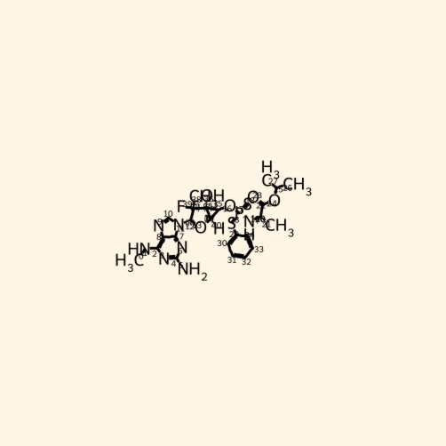 CNc1nc(N)nc2c1ncn2[C@@H]1O[C@@H]2C(OP(=S)(N[C@H](C)C(=O)OC(C)C)Sc3ccccc3)[C@]2(O)[C@@]1(C)F